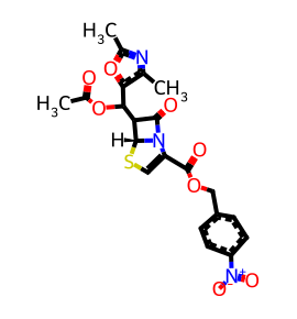 CC(=O)OC(c1oc(C)nc1C)C1C(=O)N2C(C(=O)OCc3ccc([N+](=O)[O-])cc3)=CS[C@H]12